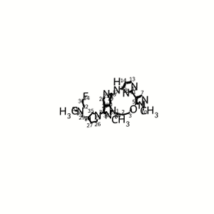 C[C@H]1CCOc2c(cnn2C)-c2nccc(n2)Nc2cc3c(cn2)c(N2CC[C@H](CN(C)CCF)C2)nn31